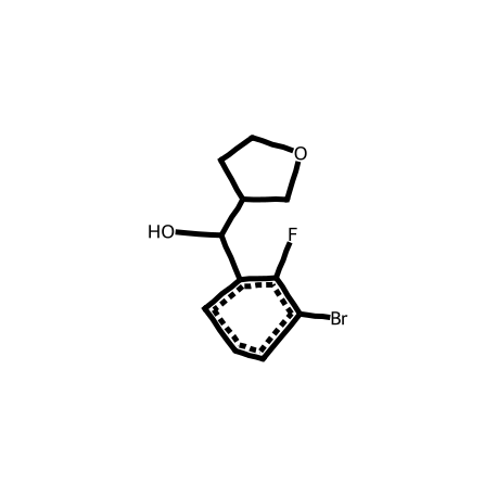 OC(c1cccc(Br)c1F)C1CCOC1